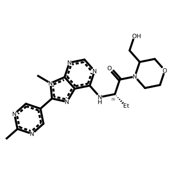 CC[C@H](Nc1ncnc2c1nc(-c1cnc(C)nc1)n2C)C(=O)N1CCOCC1CO